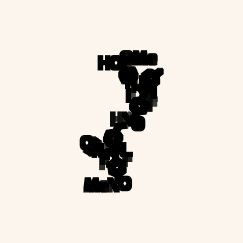 CNC(=O)c1cc(F)c(-c2nc3cc(CCNC(=O)c4cc(F)c(-c5nc6cc(C)ccn6c5CN5CCN(C(O)OC)CC5)c(F)c4)ccn3c2CN2CCOCC2)c(F)c1